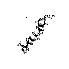 CC(C)n1cnnc1-c1ncc(NC(=O)Nc2nc3c(s2)CN(C(=O)O)CC3)s1